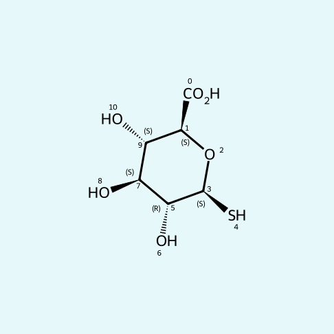 O=C(O)[C@H]1O[C@@H](S)[C@H](O)[C@@H](O)[C@@H]1O